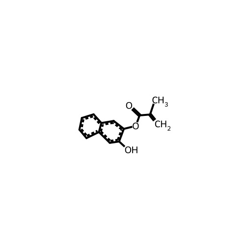 C=C(C)C(=O)Oc1cc2ccccc2cc1O